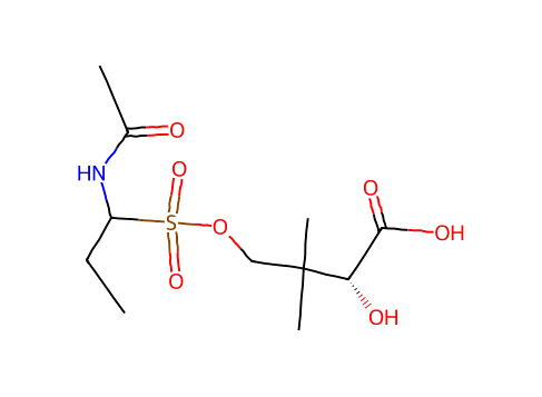 CCC(NC(C)=O)S(=O)(=O)OCC(C)(C)[C@@H](O)C(=O)O